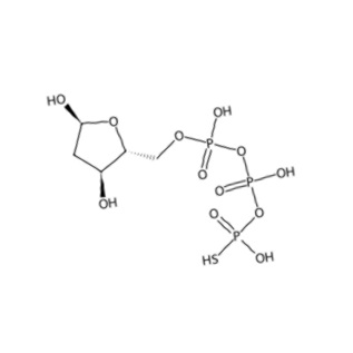 O=P(O)(S)OP(=O)(O)OP(=O)(O)OC[C@H]1O[C@H](O)C[C@@H]1O